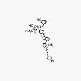 Cc1c(OCCCN2CCC(O)CC2)cccc1-c1cccc2c1CC[C@@H]2Oc1cc(OCc2cncc(C#N)c2)c(CN[C@@](C)(CO)C(=O)O)cc1Cl